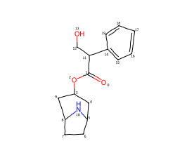 O=C(OC1CC2CCC(C1)N2)C(CO)c1ccccc1